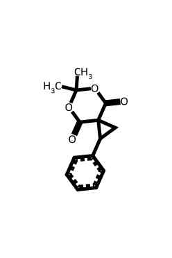 CC1(C)OC(=O)C2(CC2c2ccccc2)C(=O)O1